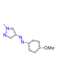 COc1ccc(N=Nc2cnn(C)c2)cc1